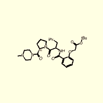 CC(C)CC(NC(=O)c1ccccc1OCC(=O)OC(C)(C)C)C(=O)N1CCC[C@@H]1C(=O)N1CCN(C)CC1